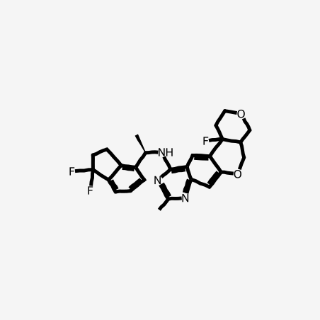 Cc1nc(N[C@H](C)c2cccc3c2CCC3(F)F)c2cc3c(cc2n1)OCC1COCCC31F